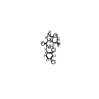 CN1CC(C(=O)NCc2ccc(Cl)cc2Cl)N(CC(F)F)C1=O